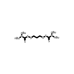 CCCCN(CCCC)C(=S)SSCCCSSC(=S)N(CCCC)CCCC